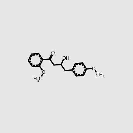 COc1ccc(CC(O)CC(=O)c2ccccc2OC)cc1